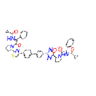 O=C(NC(C(=O)N1CCCC1c1nc(-c2ccc(-c3ccc(-c4csc(C5CCCN5C(=O)[C@H](NC(=O)C5CC5)c5ccccc5)n4)cc3)cc2)no1)c1ccccc1)C1CC1